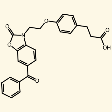 O=C(O)CCc1ccc(OCCn2c(=O)oc3cc(C(=O)c4ccccc4)ccc32)cc1